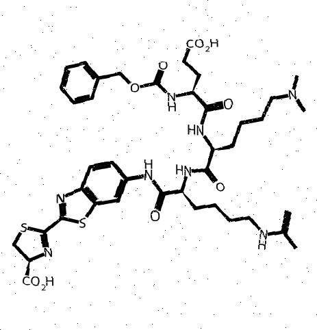 C=C(C)NCCCC[C@H](NC(=O)[C@H](CCCCN(C)C)NC(=O)[C@H](CCC(=O)O)NC(=O)OCc1ccccc1)C(=O)Nc1ccc2nc(C3=N[C@@H](C(=O)O)CS3)sc2c1